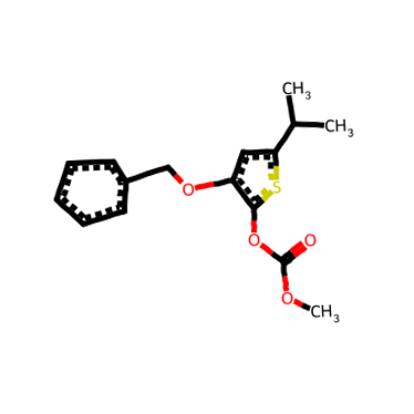 COC(=O)Oc1sc(C(C)C)cc1OCc1ccccc1